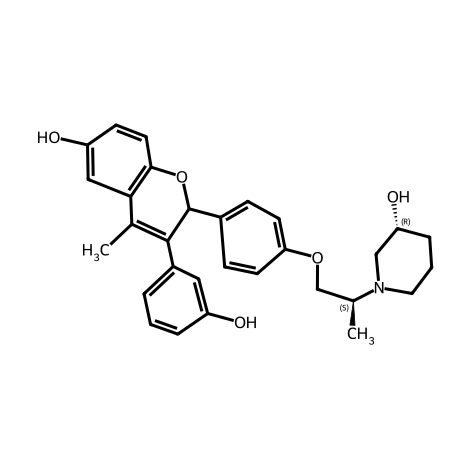 CC1=C(c2cccc(O)c2)C(c2ccc(OC[C@H](C)N3CCC[C@@H](O)C3)cc2)Oc2ccc(O)cc21